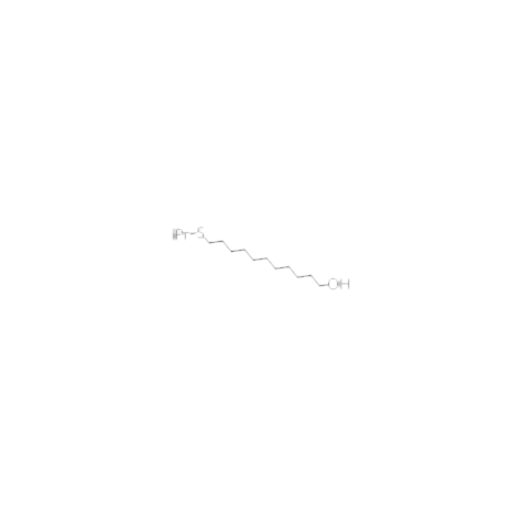 CC(C)SCCCCCCCCCCCO